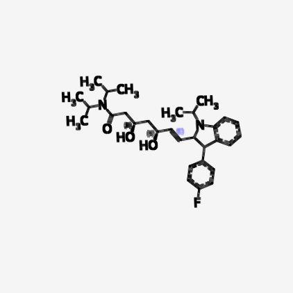 CC(C)N(C(=O)C[C@H](O)C[C@H](O)/C=C/C1C(c2ccc(F)cc2)c2ccccc2N1C(C)C)C(C)C